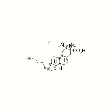 CCCC1(N(C)C)C[C@@]2(C)C(=CC[C@H]3[C@@H]4CC[C@H]([C@H](C)CCCC(C)C)[C@@]4(C)CC[C@@H]32)CC1(C(=O)O)[N+](C)(C)C.[I-]